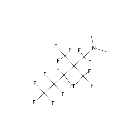 CN(C)C(F)(F)C(C(F)(F)F)(C(F)(F)F)C(F)(F)C(F)(F)C(F)(F)F